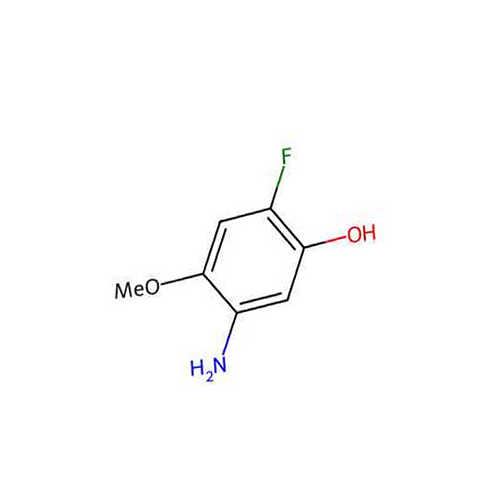 COc1cc(F)c(O)cc1N